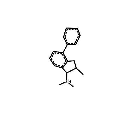 CC1Cc2c(-c3ccccc3)cccc2C1[SiH](C)C